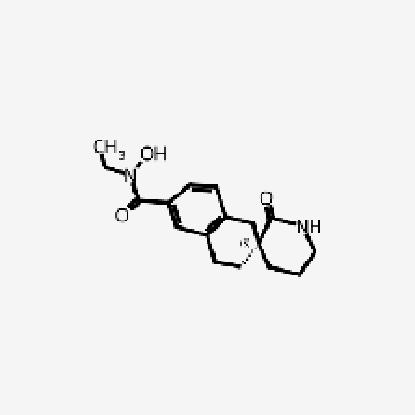 CCN(O)C(=O)c1ccc2c(c1)CC[C@]1(CCCNC1=O)C2